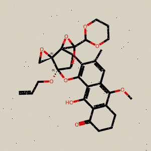 C=CCO[C@@]12Oc3c(c(C)cc4c(OC)c5c(c(O)c34)C(=O)CCC5)C3C1OC1(C4OCCCO4)OC31[C@]21CO1